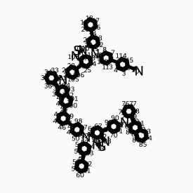 N#Cc1ccc(-c2ccc(N(c3ccc(-c4ccccc4)cc3)c3ccc(-c4ccc(-n5c6ccccc6c6cc7cc(-c8cccc(-c9ccc(N(c%10ccc(-c%11ccccc%11)cc%10)c%10ccc(-c%11ccc(-n%12c%13ccccc%13c%13cc%14ccccc%14cc%13%12)cc%11)c%11nsnc%10%11)cc9)c8)ccc7cc65)cc4)c4nsnc34)cc2)cc1